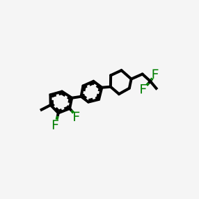 Cc1ccc(-c2ccc(C3CCC(CC(C)(F)F)CC3)cc2)c(F)c1F